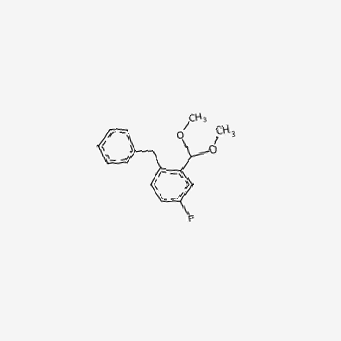 COC(OC)c1cc(F)ccc1Cc1ccccc1